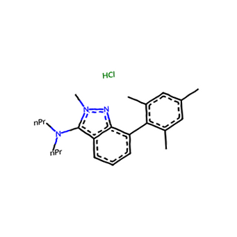 CCCN(CCC)c1c2cccc(-c3c(C)cc(C)cc3C)c2nn1C.Cl